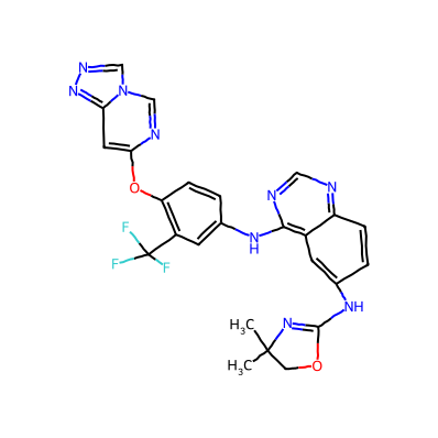 CC1(C)COC(Nc2ccc3ncnc(Nc4ccc(Oc5cc6nncn6cn5)c(C(F)(F)F)c4)c3c2)=N1